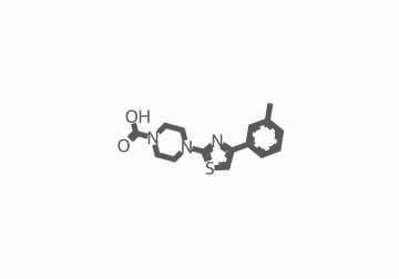 Cc1cccc(-c2csc(N3CCN(C(=O)O)CC3)n2)c1